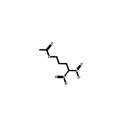 CC(=O)OCCCC([N+](=O)[O-])[N+](=O)[O-]